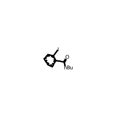 CCCCC(=O)c1ccccc1I